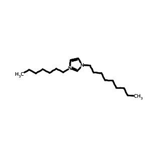 CCCCCCCCCn1cc[n+](CCCCCCC)c1